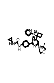 C[C@H]1COCCN1c1cc(C2(S(=O)(=O)c3ccccn3)CCC2)nc(-c2ccc(NC(=O)NC3CC3)cc2)n1